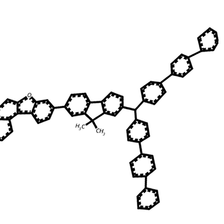 CC1(C)c2cc(-c3ccc4c(c3)oc3ccc5ccccc5c34)ccc2-c2ccc(C(c3ccc(-c4ccc(-c5ccccc5)cc4)cc3)c3ccc(-c4ccc(-c5ccccc5)cc4)cc3)cc21